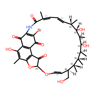 C/C1=C/C=C/[C@H](C)[C@H](O)[C@@H](C)[C@@H](O)[C@@H](C)[C@H](C)[C@H](C)[C@@H](CO)/C=C/O[C@@]2(C)Oc3c(C)c(O)c4c(c3C2=O)C(=O)C(Br)=C(NC1=O)C4=O